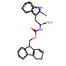 Cc1[nH]c2ccccc2c1C[C@H](NC(=O)OCC1C2=C(CCC=C2)c2ccccc21)C(=O)O